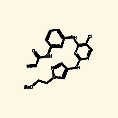 C=CC(=O)Nc1cccc(Nc2nc(Nc3cnn(CCOC)c3)ncc2Cl)c1